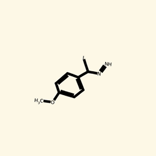 COc1ccc(C(I)N=N)cc1